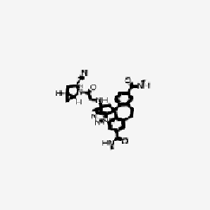 CNC(=O)c1ccc2c(c1)CCc1cc(C(=O)NC)ccc1C2(CC1(NCC(=O)N2[C@H](C#N)C[C@@H]3C[C@@H]32)CC1)c1nnn[nH]1